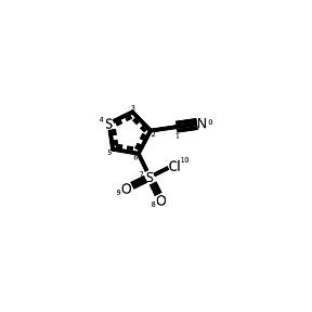 N#Cc1cscc1S(=O)(=O)Cl